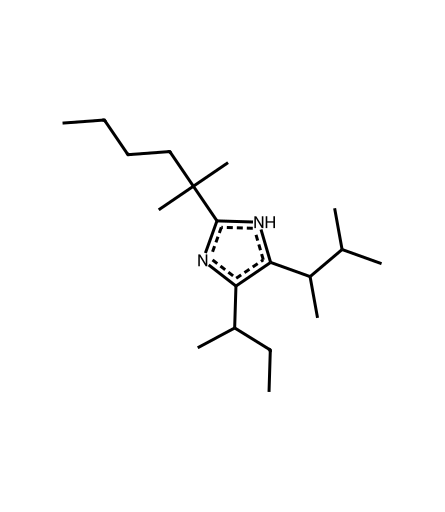 CCCCC(C)(C)c1nc(C(C)CC)c(C(C)C(C)C)[nH]1